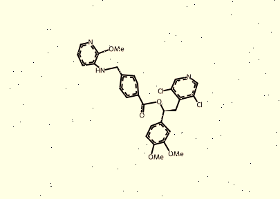 COc1ccc([C@H](Cc2c(Cl)cncc2Cl)OC(=O)c2ccc(CNc3cccnc3OC)cc2)cc1OC